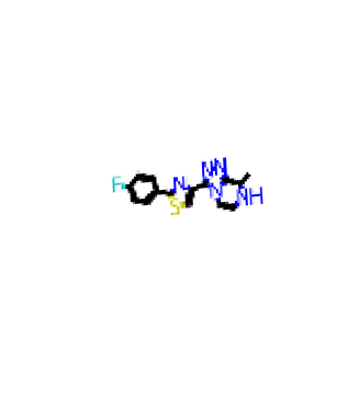 CC1NCCn2c(-c3csc(-c4ccc(F)cc4)n3)nnc21